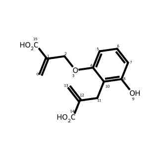 C=C(COc1cccc(O)c1CC(=C)C(=O)O)C(=O)O